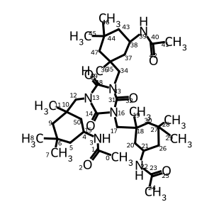 CC(=O)NC1CC(C)(C)CC(C)(Cn2c(=O)n(CC3(C)CC(NC(C)=O)CC(C)(C)C3)c(=O)n(CC3(C)CC(NC(C)=O)CC(C)(C)C3)c2=O)C1